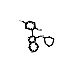 Oc1ccc(O)c(-c2nc3cnccn3c2NC2CCCCC2)c1